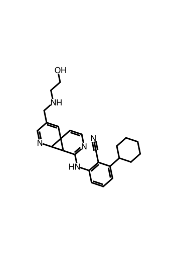 N#Cc1c(NC2=NC=CC34C=C(CNCCO)C=NC3C24)cccc1C1CCCCC1